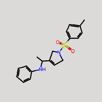 Cc1ccc(S(=O)(=O)N2CC=C(C(C)Nc3ccccc3)C2)cc1